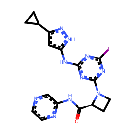 O=C(Nc1cnccn1)[C@@H]1CCN1c1nc(I)nc(Nc2cc(C3CC3)n[nH]2)n1